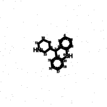 B1c2ccccc2C(C2CCCNC2)c2ccccc21